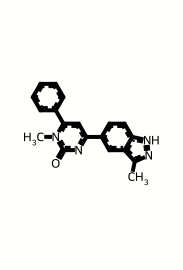 Cc1n[nH]c2ccc(-c3cc(-c4ccccc4)n(C)c(=O)n3)cc12